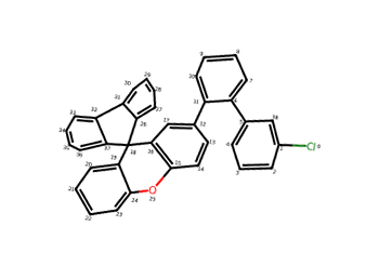 Clc1cccc(-c2ccccc2-c2ccc3c(c2)C2(c4ccccc4O3)c3ccccc3-c3ccccc32)c1